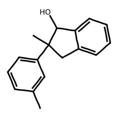 Cc1cccc(C2(C)Cc3ccccc3C2O)c1